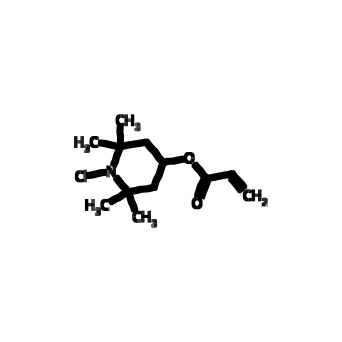 C=CC(=O)OC1CC(C)(C)N(Cl)C(C)(C)C1